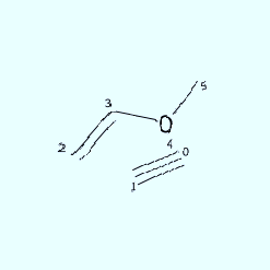 C#C.C=COC